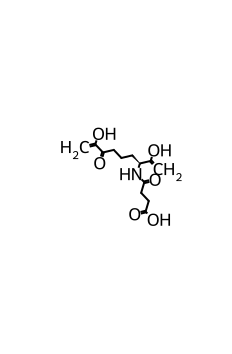 C=C(O)C(=O)CCC[C@H](NC(=O)CCC(=O)O)C(=C)O